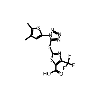 Cc1cc(-n2nnnc2Sc2nc(C(F)(F)F)c(C(=O)O)s2)sc1C